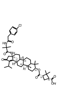 CC(C)C1=C2[C@H]3CC[C@@H]4[C@@]5(C)CC[C@H](OC(=O)[C@H]6C[C@@H](C(=O)O)C6(C)C)C(C)(C)C5CC[C@@]4(C)[C@]3(C)CC[C@@]2(NC(=O)C(C)(C)NC(=O)Cc2ccc(Cl)cc2)CC1=O